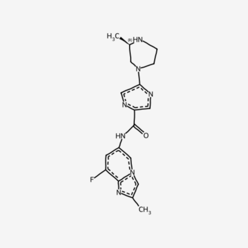 Cc1cn2cc(NC(=O)c3cnc(N4CCN[C@H](C)C4)cn3)cc(F)c2n1